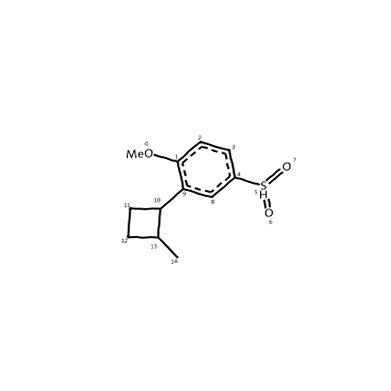 COc1ccc([SH](=O)=O)cc1C1CCC1C